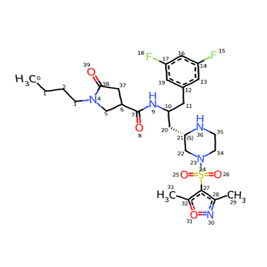 CCCCN1CC(C(=O)NC(Cc2cc(F)cc(F)c2)C[C@H]2CN(S(=O)(=O)c3c(C)noc3C)CCN2)CC1=O